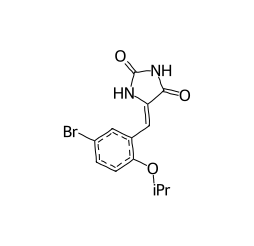 CC(C)Oc1ccc(Br)cc1C=C1NC(=O)NC1=O